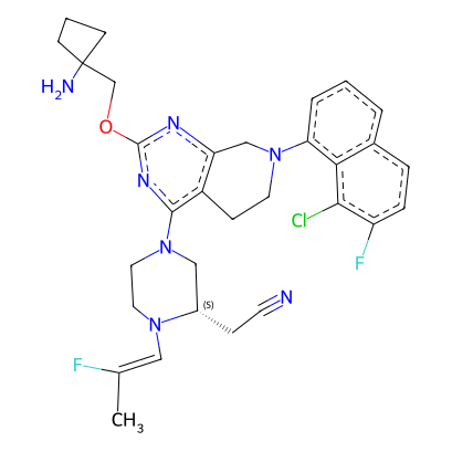 CC(F)=CN1CCN(c2nc(OCC3(N)CCC3)nc3c2CCN(c2cccc4ccc(F)c(Cl)c24)C3)C[C@@H]1CC#N